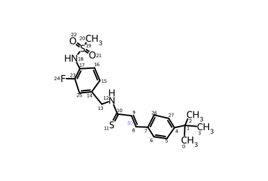 CC(C)(C)c1ccc(/C=C/C(=S)NCc2ccc(NS(C)(=O)=O)c(F)c2)cc1